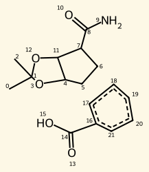 CC1(C)OC2CCC(C(N)=O)C2O1.O=C(O)c1ccccc1